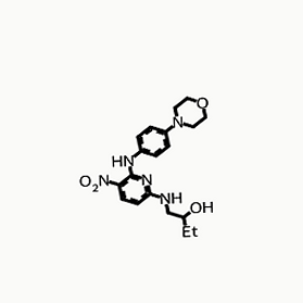 CCC(O)CNc1ccc([N+](=O)[O-])c(Nc2ccc(N3CCOCC3)cc2)n1